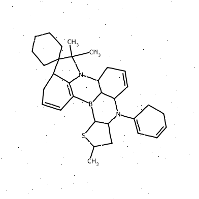 CC1CC2C(S1)B1C3=C4C(CC=C3)C3(CCCCC3)C(C)(C)N4C3CC=CC(C13)N2C1=CC=CCC1